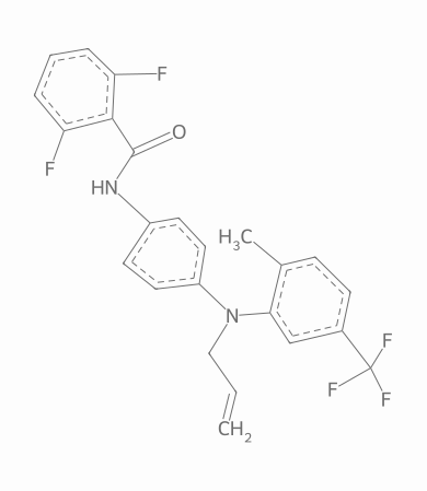 C=CCN(c1ccc(NC(=O)c2c(F)cccc2F)cc1)c1cc(C(F)(F)F)ccc1C